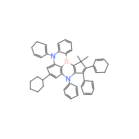 CC1(C)C2=C(C(c3ccccc3)=C1C1=CCCC=C1)N(c1ccccc1)c1cc(C3CCCCC3)cc3c1B2c1ccccc1N3C1=CCCC=C1